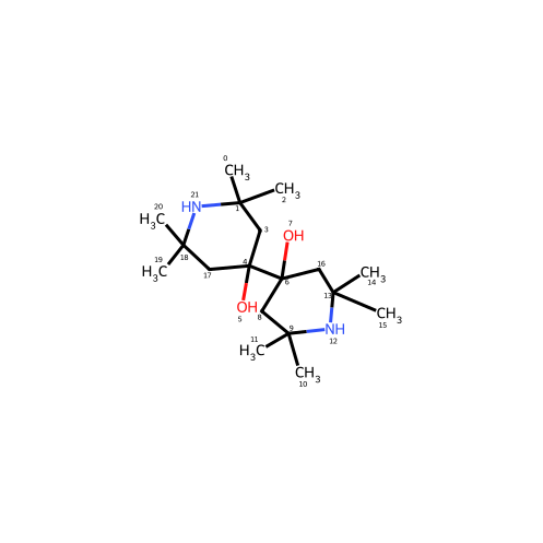 CC1(C)CC(O)(C2(O)CC(C)(C)NC(C)(C)C2)CC(C)(C)N1